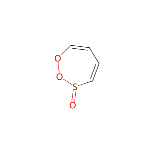 O=S1C=CC=COO1